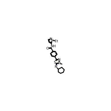 CCn1nccc1NC(=O)c1ccc(-c2nn(C)/c(=N\C3CCCCC3)s2)cc1